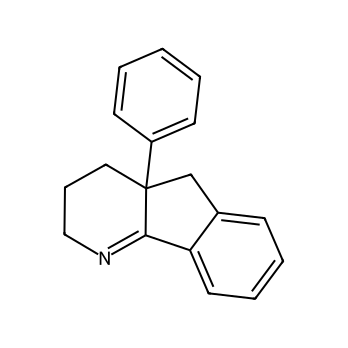 c1ccc(C23CCCN=C2c2ccccc2C3)cc1